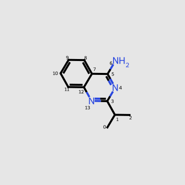 CC(C)c1nc(N)c2ccccc2n1